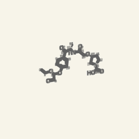 CCOC(C=O)Oc1ccc(C(=O)[C@H](C)NC(=O)CO[C@@H]2CCN(C(=O)O)C2)cc1